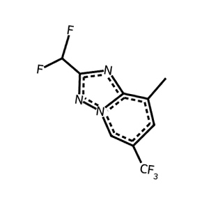 Cc1cc(C(F)(F)F)cn2nc(C(F)F)nc12